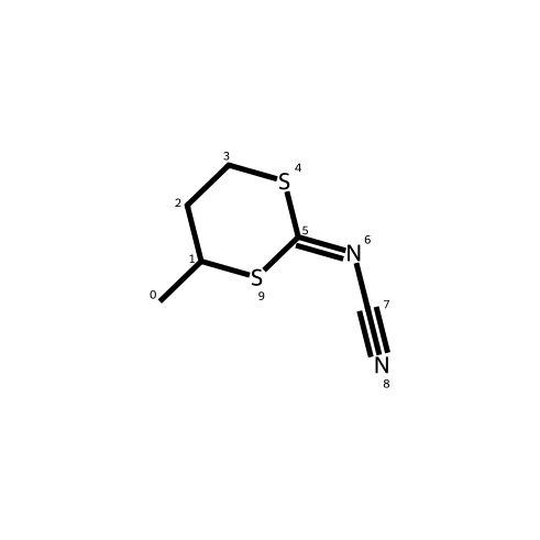 CC1CCSC(=NC#N)S1